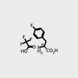 N[C@@H](Cc1ccc(F)cc1)C(=O)O.O=C(O)C(F)(F)F